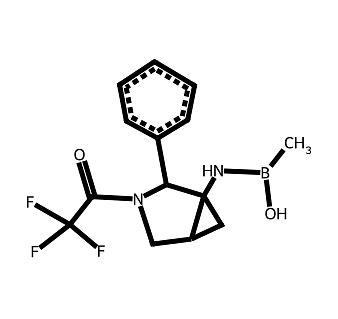 CB(O)NC12CC1CN(C(=O)C(F)(F)F)C2c1ccccc1